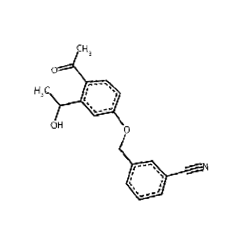 CC(=O)c1ccc(OCc2cccc(C#N)c2)cc1C(C)O